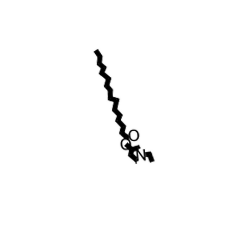 CCCCCCCCCCCCCCCC(=O)OC1C[CH]N(CC)C1